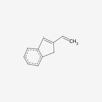 C=CC1=[C]c2ccccc2C1